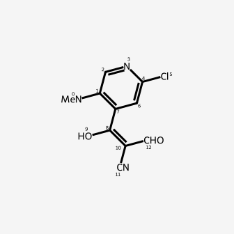 CNc1cnc(Cl)cc1/C(O)=C(/C#N)C=O